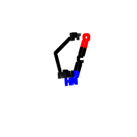 CCCCCC(C)C.N=C=O